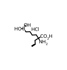 C=CCC(N)(CCCCB(O)O)C(=O)O.Cl